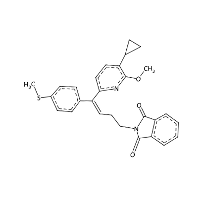 COc1nc(/C(=C\CCN2C(=O)c3ccccc3C2=O)c2ccc(SC)cc2)ccc1C1CC1